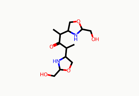 CC(C(=O)C(C)C1COC(CO)N1)C1COC(CO)N1